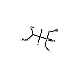 CCCCCC(O)C(Cl)(Cl)P(=O)(OCC)OCC